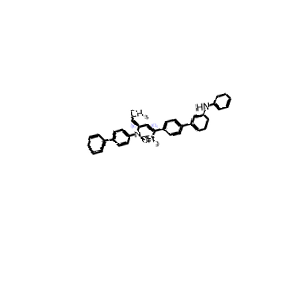 C/C=C(\C=C(/CC)c1ccc(-c2cccc(Nc3ccccc3)c2)cc1)N(C)c1ccc(C2=CCCC=C2)cc1